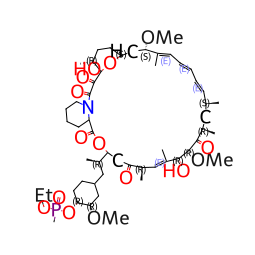 CCOP(C)(=O)O[C@@H]1CCC(C[C@@H](C)C2CC(=O)[C@H](C)/C=C(\C)[C@@H](O)[C@@H](OC)C(=O)[C@H](C)C[C@H](C)/C=C/C=C/C=C(\C)[C@@H](OC)C[C@@H]3CC[C@@H](C)C(O)(O3)C(=O)C(=O)N3CCCCC3C(=O)O2)C[C@H]1OC